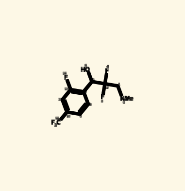 CNCC(F)(F)C(O)c1ccc(C(F)(F)F)cc1F